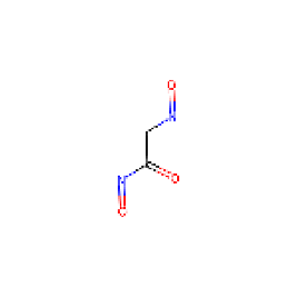 O=NCC(=O)N=O